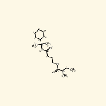 CCC(C)C(=O)OCCCC(=O)OC(C)(C)C1CCCCC1